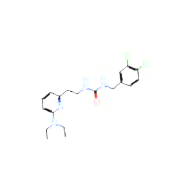 CCN(CC)c1cccc(CCNC(=O)NCc2ccc(Cl)c(Cl)c2)n1